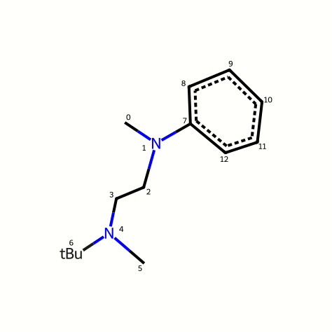 CN(CCN(C)C(C)(C)C)c1ccccc1